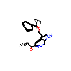 CNC(=O)c1cc2c(CO[C@H](C)c3ccccc3)c[nH]c2cn1